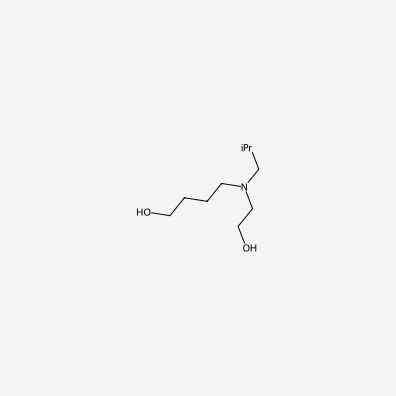 CC(C)CN(CCO)CCCCO